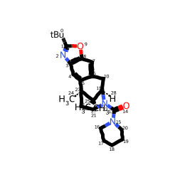 CC(C)(C)c1nc2cc3c(cc2o1)C[C@H]1N(C(=O)N2CCCCC2)CC[C@]3(C)C1(C)C